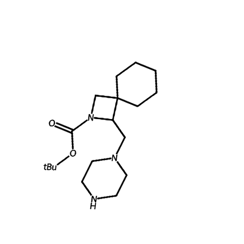 CC(C)(C)OC(=O)N1CC2(CCCCC2)C1CN1CCNCC1